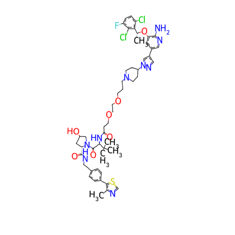 Cc1ncsc1-c1ccc(CNC(=O)[C@@H]2C[C@@H](O)CN2C(=O)[C@@H](NC(=O)CCOCCOCCCN2CCC(n3cc(-c4cnc(N)c(O[C@H](C)c5c(Cl)ccc(F)c5Cl)c4)cn3)CC2)C(C)(C)C)cc1